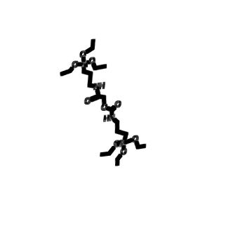 CCO[Si](CCCNC(=O)COC(=O)NCCC[Si](OCC)(OCC)OCC)(OCC)OCC